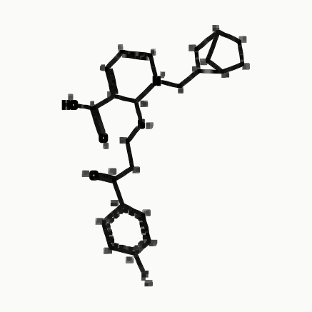 O=C(O)C1=CC=CN(CC2CC3CCC2C3)C1SCCC(=O)c1ccc(F)cc1